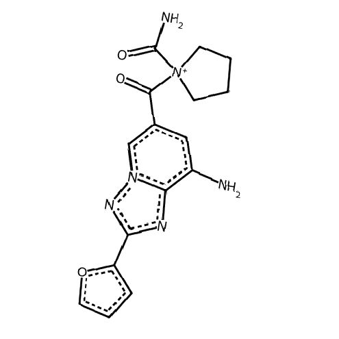 NC(=O)[N+]1(C(=O)c2cc(N)c3nc(-c4ccco4)nn3c2)CCCC1